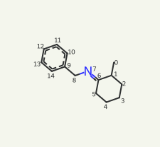 CC1CCCCC1=NCc1ccccc1